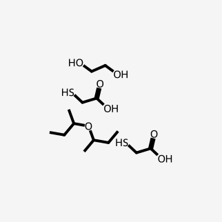 CCC(C)OC(C)CC.O=C(O)CS.O=C(O)CS.OCCO